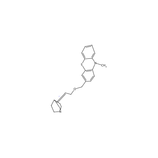 CN1c2ccccc2Sc2cc(COC/C=C3\CN4CCC3CC4)ccc21